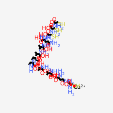 CC(C)[C@H](N)C(=O)O.CC(C)[C@H](N)C(=O)O.CC(C)[C@H](N)C(=O)O.CC(C)[C@H](N)C(=O)O.NC(=O)CC[C@H](N)C(=O)O.NC(=O)CC[C@H](N)C(=O)O.N[C@@H](CS)C(=O)O.N[C@@H](CS)C(=O)O.N[C@@H](CS)C(=O)[O-].N[C@@H](CS)C(=O)[O-].O=C(O)[C@@H]1CCCN1.O=C(O)[C@@H]1CCCN1.[Cu+2]